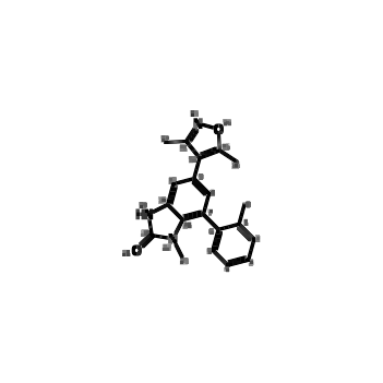 Cc1ccccc1-c1cc(-c2c(C)noc2C)cc2[nH]c(=O)n(C)c12